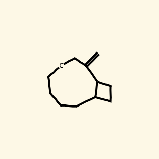 C=C1CCCCCCC2CCC12